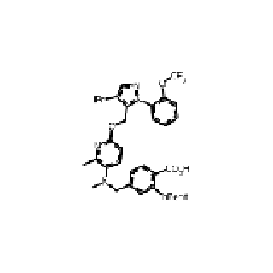 CCCCCc1cc(CN(C)c2ccc(OCc3c(C(C)C)cnn3-c3ccccc3OC(F)(F)F)nc2C)ccc1C(=O)O